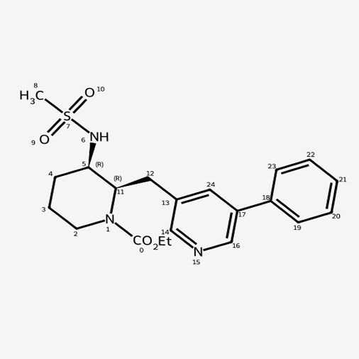 CCOC(=O)N1CCC[C@@H](NS(C)(=O)=O)[C@H]1Cc1cncc(-c2ccccc2)c1